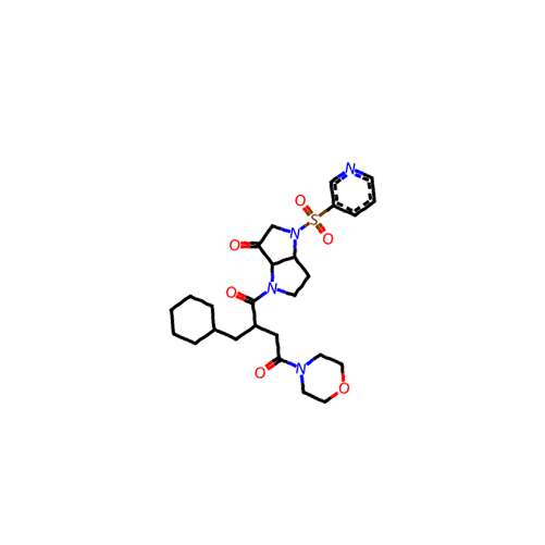 O=C1CN(S(=O)(=O)c2cccnc2)C2CCN(C(=O)C(CC(=O)N3CCOCC3)CC3CCCCC3)C12